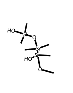 CO[Si](C)(O)[Si](C)(C)O[Si](C)(C)O